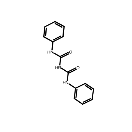 O=C(NC(=O)Nc1ccccc1)Nc1ccccc1